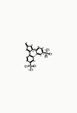 C=C1[C]=C(c2ccc([Si](CC)(CC)CC)cc2)C(c2ccc([Si](CC)(CC)CC)cc2)=C1